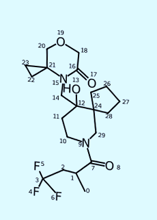 CC(CC(F)(F)F)C(=O)N1CCC(O)(CN2C(=O)COCC23CC3)C2(CCCC2)C1